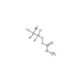 COC(=O)CCC(F)(F)C(F)(F)Br